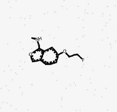 CNc1occ2ccc(OCCF)cc12